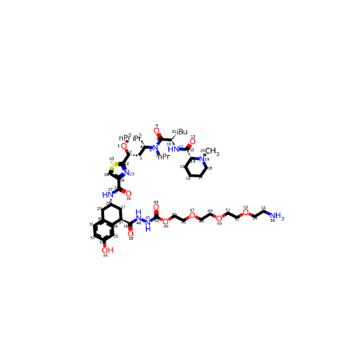 CCCO[C@H](C[C@H](C(C)C)N(CCC)C(=O)[C@@H](NC(=O)[C@H]1CCCCN1C)[C@@H](C)CC)c1nc(C(=O)N[C@H]2Cc3ccc(O)cc3[C@H](C(=O)NNC(=O)OCCOCCOCCOCCN)C2)cs1